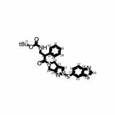 CC(C)(C)OC(=O)NCC(C(=O)N1Cc2cn(Sc3ccc4ncsc4c3)nc2C1)c1ccccc1